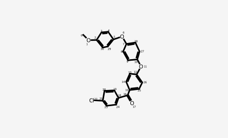 COc1ccc(Oc2ccc(Oc3ccc(C(=O)c4ccc(Cl)cc4)cc3)cc2)cc1